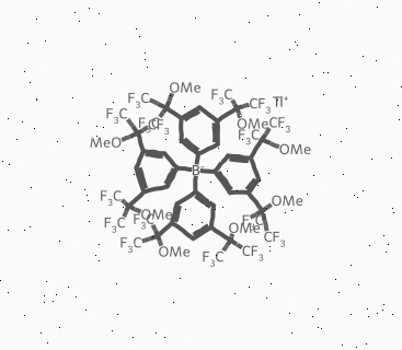 COC(c1cc([B-](c2cc(C(OC)(C(F)(F)F)C(F)(F)F)cc(C(OC)(C(F)(F)F)C(F)(F)F)c2)(c2cc(C(OC)(C(F)(F)F)C(F)(F)F)cc(C(OC)(C(F)(F)F)C(F)(F)F)c2)c2cc(C(OC)(C(F)(F)F)C(F)(F)F)cc(C(OC)(C(F)(F)F)C(F)(F)F)c2)cc(C(OC)(C(F)(F)F)C(F)(F)F)c1)(C(F)(F)F)C(F)(F)F.[Tl+]